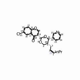 CCC/C=C\C[C@@H]1CO[C@H](c2coc3ccc(Cl)cc3c2=O)O[C@@H]1c1cccnc1